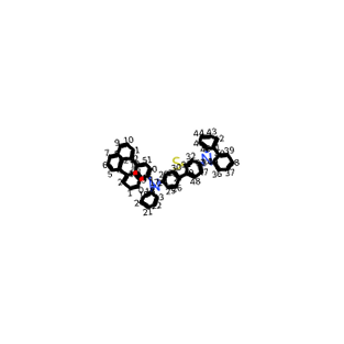 c1ccc(-c2cccc3cccc(-c4ccc(N(c5ccccc5)c5ccc6c(c5)sc5cc(-n7c8ccccc8c8ccccc87)ccc56)cc4)c23)cc1